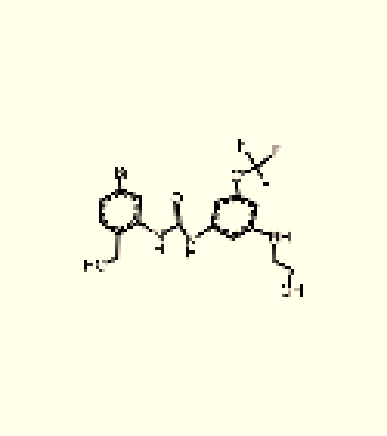 O=C(Nc1cc(NCCO)cc(OC(F)(F)F)c1)Nc1cc(Br)ccc1CO